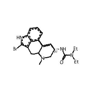 CCN(CC)C(=O)N[C@H]1C=C2c3cccc4[nH]c(Br)c(c34)CC2N(C)C1